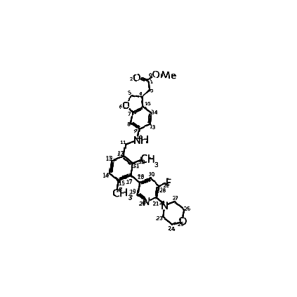 COC(=O)C[C@@H]1COc2cc(NCc3ccc(C)c(-c4cnc(N5CCOCC5)c(F)c4)c3C)ccc21